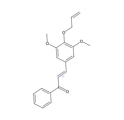 C=CCOc1c(OC)cc(/C=C/C(=O)c2ccccc2)cc1OC